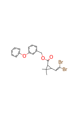 CC1(C)C(C=C(Br)Br)C1C(=O)OCc1cccc(Oc2ccccc2)c1